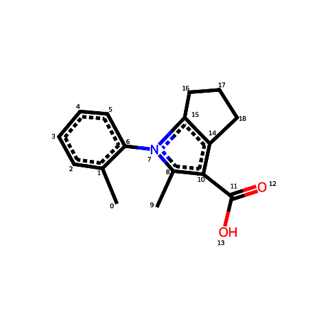 Cc1ccccc1-n1c(C)c(C(=O)O)c2c1CCC2